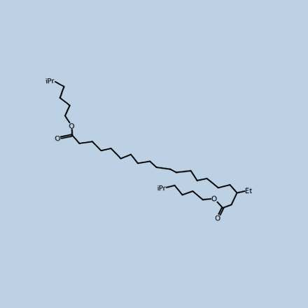 CCC(CCCCCCCCCCCCCCCCC(=O)OCCCCC(C)C)CC(=O)OCCCCC(C)C